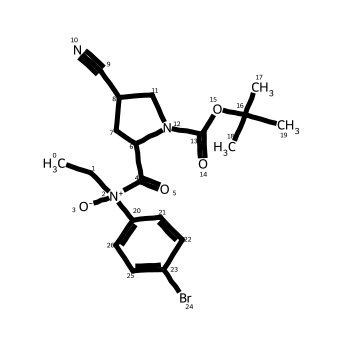 CC[N+]([O-])(C(=O)C1CC(C#N)CN1C(=O)OC(C)(C)C)c1ccc(Br)cc1